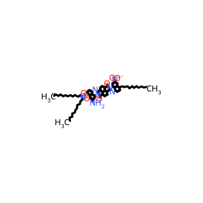 CCCCCCCCCCCCc1ccc2nc3c4ccc5c(=O)n6c7cc(N)cc8c(S(=O)(=O)N(CCCCCCCCCCCC)CCCCCCCCCCCC)ccc(nc6c6ccc(c(=O)n3c3cc([N+](=O)[O-])cc1c23)c4c56)c87